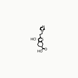 Cl.O=C(O)C1CCc2cc(CCn3ccnc3)sc2C1